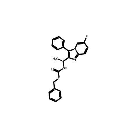 C[C@H](NC(=O)OCc1ccccc1)c1nc2ccc(F)cn2c1-c1ccccc1